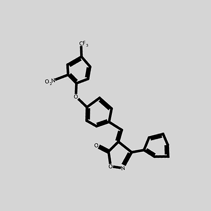 O=C1ON=C(c2ccccc2)C1=Cc1ccc(Oc2ccc(C(F)(F)F)cc2[N+](=O)[O-])cc1